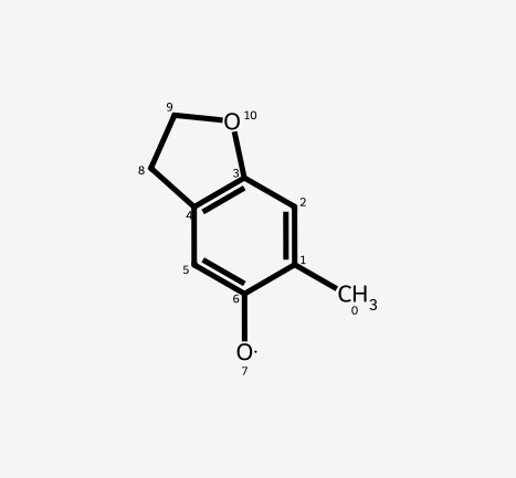 Cc1cc2c(cc1[O])CCO2